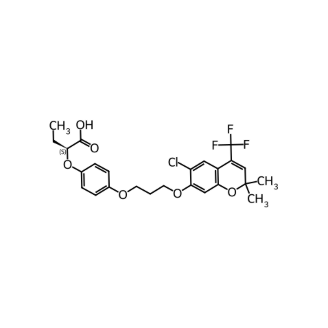 CC[C@H](Oc1ccc(OCCCOc2cc3c(cc2Cl)C(C(F)(F)F)=CC(C)(C)O3)cc1)C(=O)O